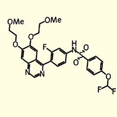 COCCOc1cc2ncnc(-c3ccc(NS(=O)(=O)c4ccc(OC(F)F)cc4)cc3F)c2cc1OCCOC